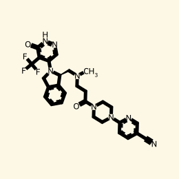 CN(CCC(=O)N1CCN(c2ccc(C#N)cn2)CC1)C[C@H]1c2ccccc2CN1c1cn[nH]c(=O)c1C(F)(F)F